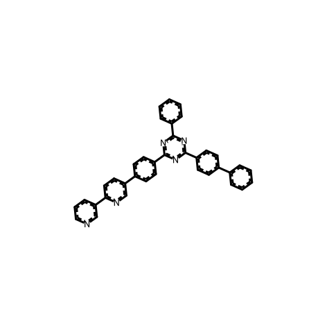 c1ccc(-c2ccc(-c3nc(-c4ccccc4)nc(-c4ccc(-c5ccc(-c6cccnc6)nc5)cc4)n3)cc2)cc1